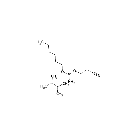 CC(C)C(C)C.CCCCCCOP(N)OCCC#N